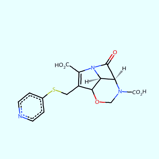 O=C(O)C1=C(CSc2ccncc2)C2OCN(C(=O)O)[C@@H]3C(=O)N1[C@H]23